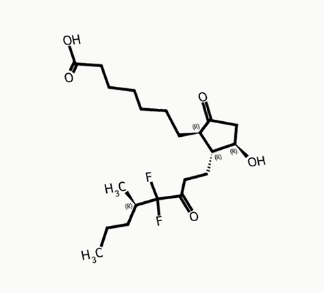 CCC[C@@H](C)C(F)(F)C(=O)CC[C@H]1[C@H](O)CC(=O)[C@@H]1CCCCCCC(=O)O